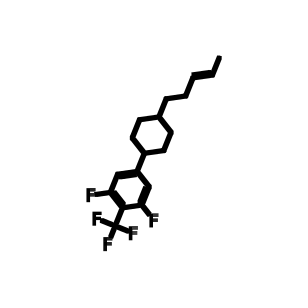 C/C=C/CCC1CCC(c2cc(F)c(C(F)(F)F)c(F)c2)CC1